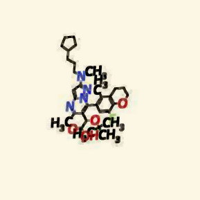 Cc1nc2cc(N(C)CCCC3CCCC3)nn2c(-c2cc(F)c3c(c2C)CCCO3)c1[C@H](OC(C)(C)C)C(=O)O